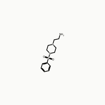 NCCN1CCN(S(=O)(=O)c2ccccc2)CC1